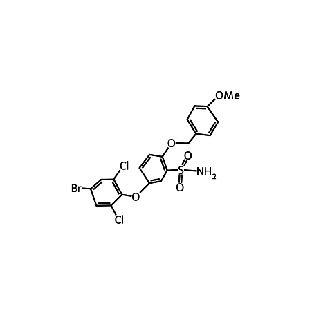 COc1ccc(COc2ccc(Oc3c(Cl)cc(Br)cc3Cl)cc2S(N)(=O)=O)cc1